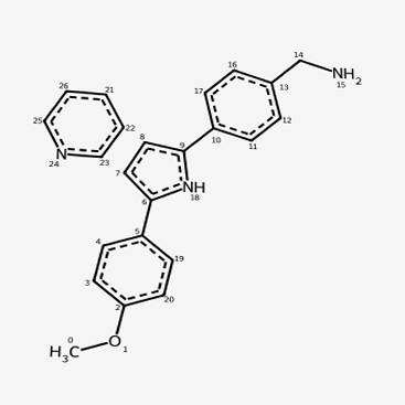 COc1ccc(-c2ccc(-c3ccc(CN)cc3)[nH]2)cc1.c1ccncc1